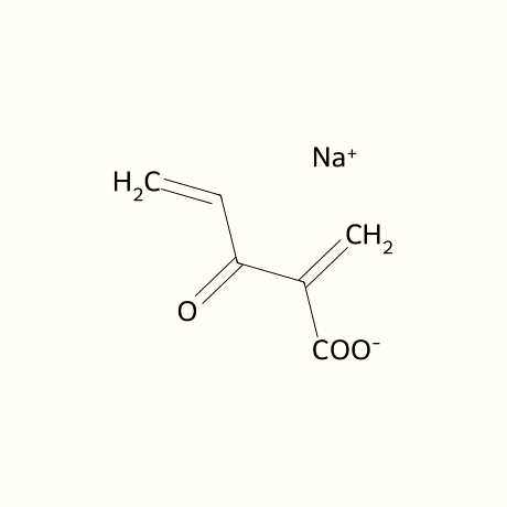 C=CC(=O)C(=C)C(=O)[O-].[Na+]